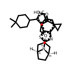 CC1(C)CCC(c2noc(C3CC3)c2CO[C@@H]2C[C@H]3CC[C@@H](C2)N3c2nc3ccc(C(=O)O)cc3s2)CC1